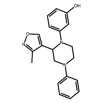 Cc1nocc1C1CN(c2ccccc2)CCN1c1cccc(O)c1